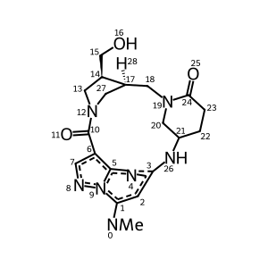 CNc1cc2nc3c(cnn13)C(=O)N1C[C@@H](CO)[C@@H](CN3CC(CCC3=O)N2)C1